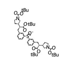 CC(C)(C)OC(=O)[C@@H](Cc1cccc([S+]([O-])c2cccc(C[C@H](C(=O)OC(C)(C)C)[C@H]3CCN(C(=O)OC(C)(C)C)C3)c2)c1)[C@H]1CCN(C(=O)OC(C)(C)C)C1